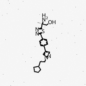 C[C@](N)(CO)c1nnc(-c2ccc(-c3cnn(CCC4CCCC4)c3)cc2)s1